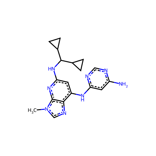 Cn1cnc2c(Nc3cc(N)ncn3)cc(NC(C3CC3)C3CC3)nc21